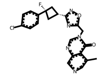 Cc1cncc2ncn(Cc3nc([C@H]4C[C@](F)(c5ccc(Cl)cc5)C4)no3)c(=O)c12